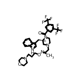 CC(CN1CCN(C(=O)c2cc(C(F)(F)F)cc(C(F)(F)F)c2)[C@H](Cc2c[nH]c3ccccc23)C1)=NOCCCN1CCOCC1